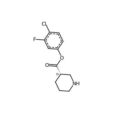 O=C(Oc1ccc(Cl)c(F)c1)[C@H]1CCCNC1